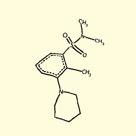 Cc1c(N2CCCCC2)cccc1S(=O)(=O)N(C)C